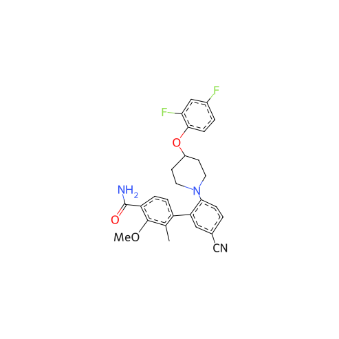 COc1c(C(N)=O)ccc(-c2cc(C#N)ccc2N2CCC(Oc3ccc(F)cc3F)CC2)c1C